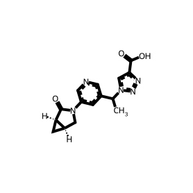 CC(c1cncc(N2C[C@H]3C[C@H]3C2=O)c1)n1cc(C(=O)O)nn1